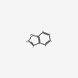 [c]1cccc2cnoc12